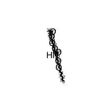 CCCCCCCOCCOCCNC(=O)COCCOCCOCC(C)=O